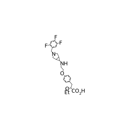 CCO[C@@H](Cc1ccc(OCCNC2C3CN(Cc4cc(F)c(F)cc4F)CC32)cc1)C(=O)O